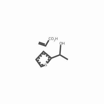 C=CC(=O)O.CC(O)c1cccs1